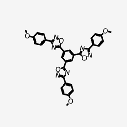 COc1ccc(-c2noc(-c3cc(-c4nc(-c5ccc(OC)cc5)no4)cc(-c4nc(-c5ccc(OC)cc5)no4)c3)n2)cc1